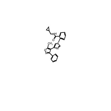 Cc1onc(-c2ccccc2)c1-c1cn(-c2ccccc2C(=O)NCC2CC2)cn1